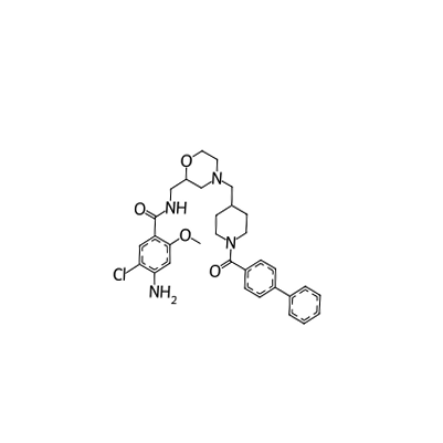 COc1cc(N)c(Cl)cc1C(=O)NCC1CN(CC2CCN(C(=O)c3ccc(-c4ccccc4)cc3)CC2)CCO1